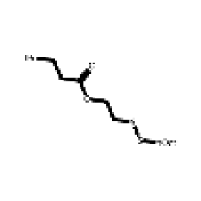 CCCCCCCCSSCCOC(=O)CCC(C)(C)C